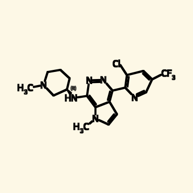 CN1CCC[C@@H](Nc2nnc(-c3ncc(C(F)(F)F)cc3Cl)c3ccn(C)c23)C1